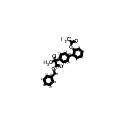 CC(=O)Oc1ccccc1-c1ccc(C(C)(Cl)C(=O)OCc2ccccc2)cc1